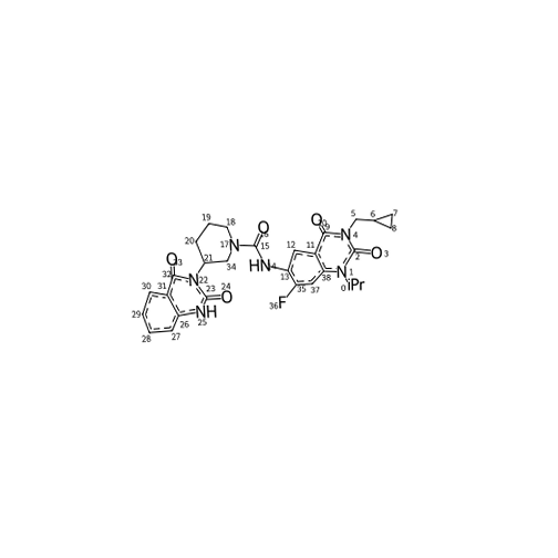 CC(C)n1c(=O)n(CC2CC2)c(=O)c2cc(NC(=O)N3CCCC(n4c(=O)[nH]c5ccccc5c4=O)C3)c(F)cc21